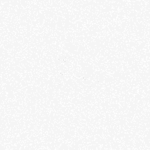 O=C([O-])c1ccccn1.O=C([O-])c1ccccn1.O=C([O-])c1ccccn1.[Ga+3]